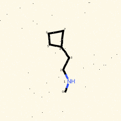 CNCCC1CCC1